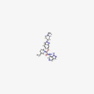 C[C@H]1CC[C@H](c2ccc3nn(C4CCN(C)CC4)cc3c2)N(C(=O)C(=O)Nc2cncc3cn[nH]c23)C1